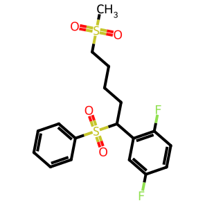 CS(=O)(=O)CCCCC(c1cc(F)ccc1F)S(=O)(=O)c1ccccc1